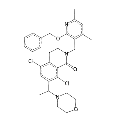 Cc1cc(C)c(CN2CCc3c(Cl)cc(C(C)N4CCOCC4)c(Cl)c3C2=O)c(OCc2ccccc2)n1